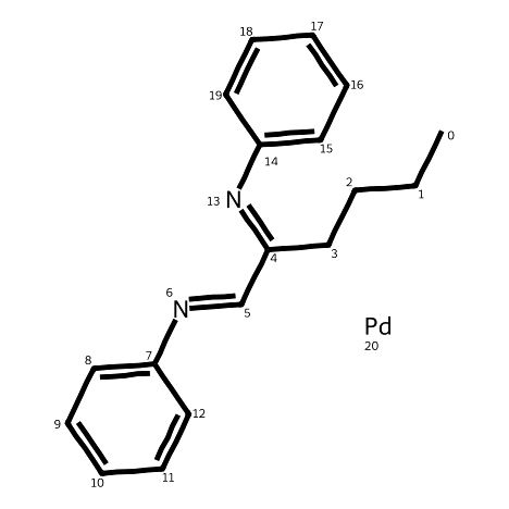 CCCCC(C=Nc1ccccc1)=Nc1ccccc1.[Pd]